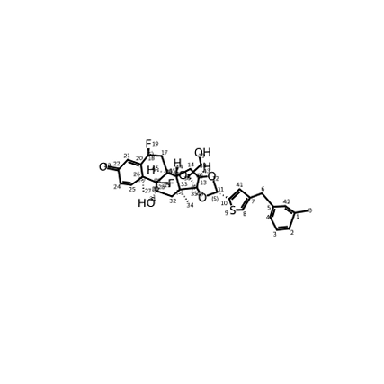 Cc1cccc(Cc2csc([C@H]3O[C@@H]4C[C@H]5[C@@H]6C[C@H](F)C7=CC(=O)C=C[C@]7(C)[C@@]6(F)[C@@H](O)C[C@]5(C)[C@]4(C(=O)CO)O3)c2)c1